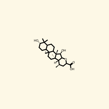 C[C@@H]1CC(C(=O)O)OC2[C@H]1[C@@]1(C)CCC34C[C@@]35CC[C@H](O)C(C)(C)C5CCC4[C@]1(C)[C@H]2O